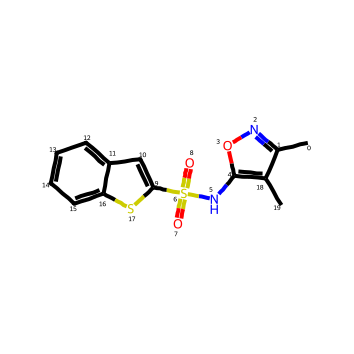 Cc1noc(NS(=O)(=O)c2cc3ccccc3s2)c1C